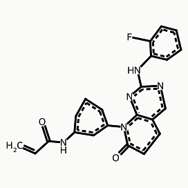 C=CC(=O)Nc1cccc(-n2c(=O)ccc3cnc(Nc4ccccc4F)nc32)c1